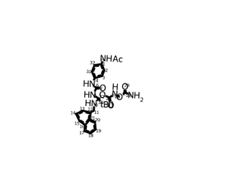 CC(=O)Nc1ccc(NC(=O)NC(NCc2cccc3ccccc23)(OC(=O)NOC(N)=O)C(C)(C)C)cc1